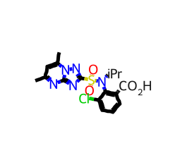 Cc1cc(C)n2nc(S(=O)(=O)N(c3c(Cl)cccc3C(=O)O)C(C)C)nc2n1